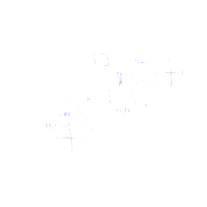 CC(C)(NS(=O)(=O)c1ccc(-c2c(C(N)=O)c3cc(C(F)(F)F)cnc3n2C2CCC2)cc1)C(F)(F)F